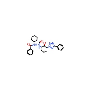 CC(C)C[C@H](NC(=O)[C@H]1CCCC[C@H]1NC(=O)c1ccccc1)C(=O)Cn1nnc(-c2ccccc2)n1